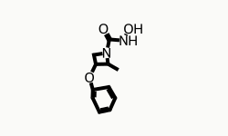 CC1C(Oc2ccccc2)CN1C(=O)NO